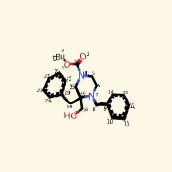 CC(C)(C)OC(=O)N1CCN(Cc2ccccc2)C(CO)(Cc2ccccc2)C1